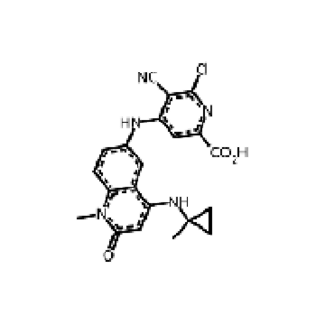 Cn1c(=O)cc(NC2(C)CC2)c2cc(Nc3cc(C(=O)O)nc(Cl)c3C#N)ccc21